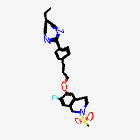 CCc1cnc(-c2ccc(CCCOc3cc4c(cc3F)CN(S(C)(=O)=O)CC4)cc2)nc1